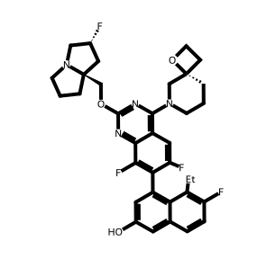 CCc1c(F)ccc2cc(O)cc(-c3c(F)cc4c(N5CCC[C@]6(CCO6)C5)nc(OC[C@@]56CCCN5C[C@H](F)C6)nc4c3F)c12